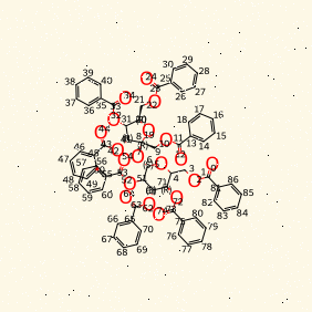 O=C(OCC1O[C@@H](O[C@@]2(COC(=O)c3ccccc3)O[C@H](COC(=O)c3ccccc3)C(OC(=O)c3ccccc3)[C@H]2OC(=O)c2ccccc2)C(OC(=O)c2ccccc2)[C@@H](OC(=O)c2ccccc2)[C@@H]1OC(=O)c1ccccc1)c1ccccc1